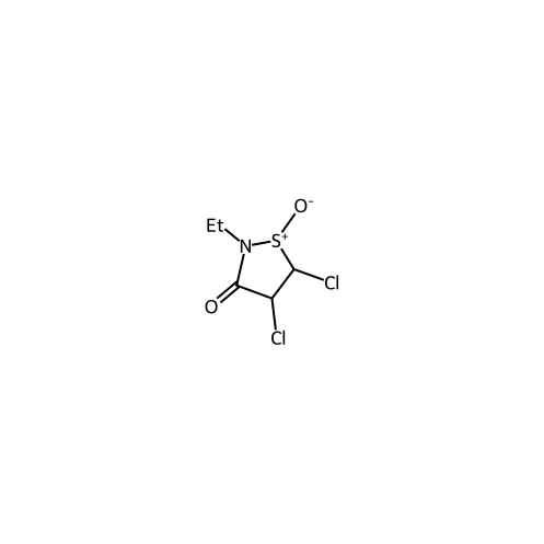 CCN1C(=O)C(Cl)C(Cl)[S+]1[O-]